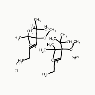 COC(C=CCP)(C(C)(C)C)C(C)(C)C.COC(C=CCP)(C(C)(C)C)C(C)(C)C.[Cl-].[Cl-].[Pd+2]